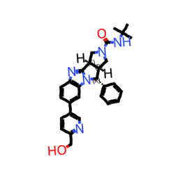 CC(C)(C)NC(=O)N1C[C@H]2[C@@H](C1)c1nc3ccc(-c4ccc(CO)nc4)cc3n1[C@H]2c1ccccc1